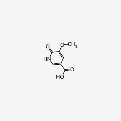 COc1cc(C(=O)O)c[nH]c1=O